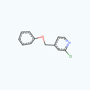 Clc1cc(COc2ccccc2)ccn1